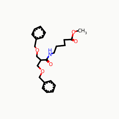 COC(=O)CCCCNC(=O)C(COCc1ccccc1)COCc1ccccc1